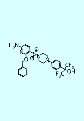 Nc1ccc(S(=O)(=O)N2CCN(c3ccc(C(O)(C(F)(F)F)C(F)(F)F)cc3)CC2)c(OCc2ccccc2)n1